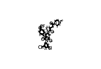 CN1CCN(C(=O)CCC(=O)N[C@@H]2CN3C(=O)N(c4cc(Cl)cc(Cl)c4)C(=O)[C@@]3(Cc3ccc(OC(F)(F)F)cc3)C2)CC1